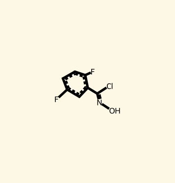 ON=C(Cl)c1cc(F)ccc1F